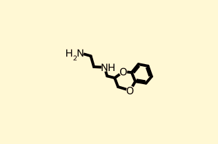 NCCNCC1COc2ccccc2O1